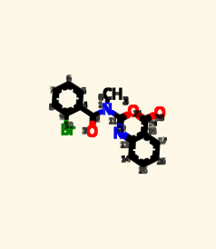 CN(C(=O)c1ccccc1Br)c1nc2ccccc2c(=O)o1